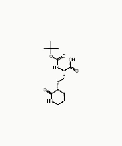 CC(C)(C)OC(=O)N[C@@H](CC[C@@H]1CCCNC1=O)C(=O)O